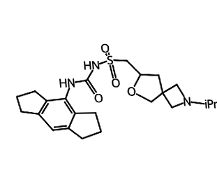 CC(C)N1CC2(COC(CS(=O)(=O)NC(=O)Nc3c4c(cc5c3CCC5)CCC4)C2)C1